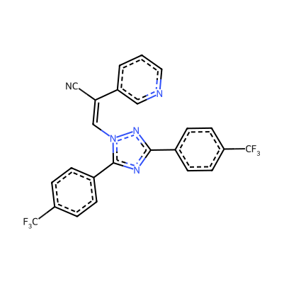 N#C/C(=C/n1nc(-c2ccc(C(F)(F)F)cc2)nc1-c1ccc(C(F)(F)F)cc1)c1cccnc1